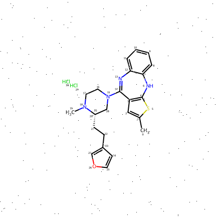 Cc1cc2c(s1)Nc1ccccc1N=C2N1CCN(C)[C@@H](CCc2ccoc2)C1.Cl.Cl